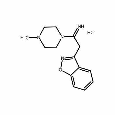 CN1CCN(C(=N)Cc2noc3ccccc23)CC1.Cl